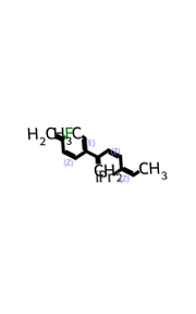 C=C(F)/C=C\C(=C/C)C(=C)/C=C\C(=C/C)C(C)C